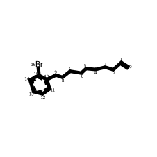 C=CCCCCCCCCc1ccccc1Br